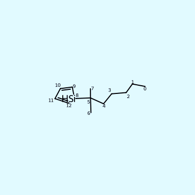 CCCCCC(C)(C)[SiH]1C=CC=C1